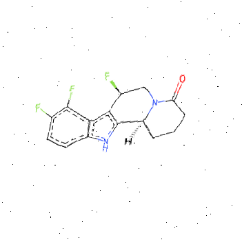 O=C1CCC[C@H]2c3[nH]c4ccc(F)c(F)c4c3[C@@H](F)CN12